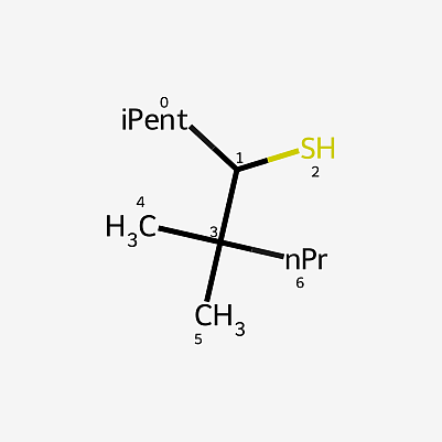 CCCC(C)C(S)C(C)(C)CCC